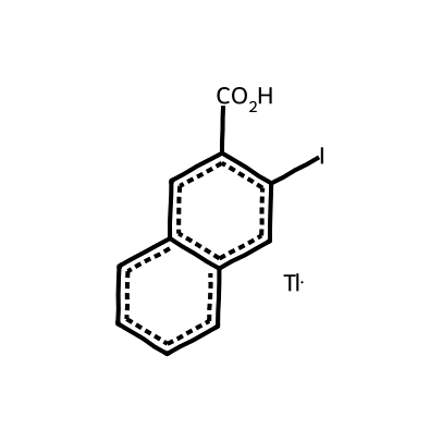 O=C(O)c1cc2ccccc2cc1I.[Tl]